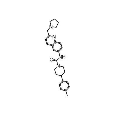 Cc1ccc(C2CCN(C(=O)Nc3ccc4nc(CN5CCCC5)ccc4c3)CC2)cc1